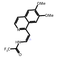 COc1cc2ccnc(/C=C\NC(=O)C(F)(F)F)c2cc1OC